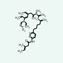 C=C/C(=C\C(=C/C)CC(=C)N(C)C(=C)SC(=C)CCCCc1ccc(NC(=O)C/C(C)=C/C)nn1)N(C=C)/C=N\C